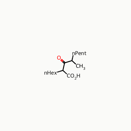 CCCCCCC(C(=O)O)C(=O)C(C)CCCCC